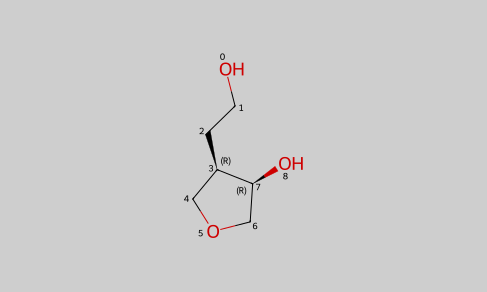 OCC[C@@H]1COC[C@@H]1O